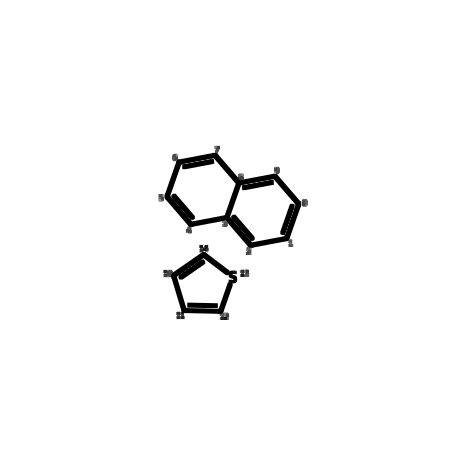 c1ccc2ccccc2c1.c1ccsc1